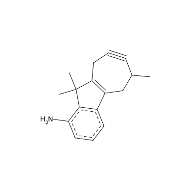 CC1C#CCC2=C(C1)c1cccc(N)c1C2(C)C